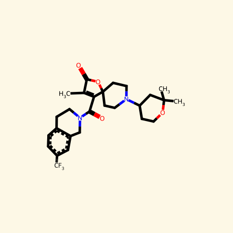 CC1=C(C(=O)N2CCc3ccc(C(F)(F)F)cc3C2)C2(CCN(C3CCOC(C)(C)C3)CC2)OC1=O